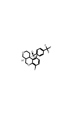 O=S(=O)(c1ccc(C(F)(F)F)cc1)[C@@]12CCOC[C@@H]1COc1c(F)ccc(F)c12